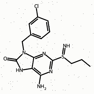 CCCS(=N)c1nc(N)c2[nH]c(=O)n(Cc3cccc(Cl)c3)c2n1